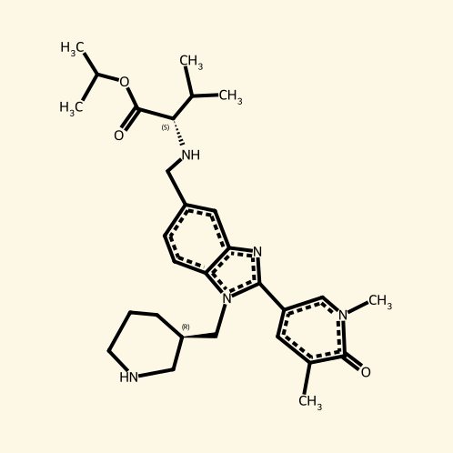 Cc1cc(-c2nc3cc(CN[C@H](C(=O)OC(C)C)C(C)C)ccc3n2C[C@@H]2CCCNC2)cn(C)c1=O